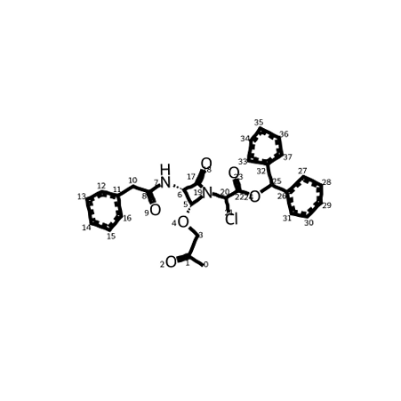 CC(=O)CO[C@@H]1[C@H](NC(=O)Cc2ccccc2)C(=O)N1C(Cl)C(=O)OC(c1ccccc1)c1ccccc1